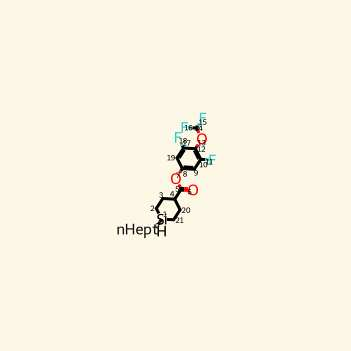 CCCCCCC[SiH]1CCC(C(=O)Oc2cc(F)c(OC(F)F)c(F)c2)CC1